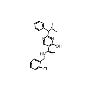 CN(C)C(c1ccccc1)c1ncc(C(=O)NCc2ccccc2Cl)c(O)n1